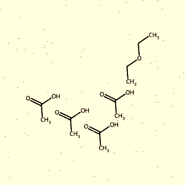 CC(=O)O.CC(=O)O.CC(=O)O.CC(=O)O.CCOCC